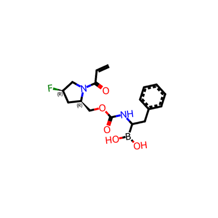 C=CC(=O)N1C[C@H](F)C[C@@H]1COC(=O)NC(Cc1ccccc1)B(O)O